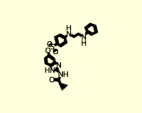 O=C(Nc1nc2cc(OS(=O)(=O)c3ccc(NCCNc4ccccc4)cc3)ccc2[nH]1)C1CC1